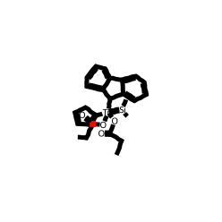 CCC(=O)[O][Ti]([O]C(=O)CC)([C]1=CC=CC1)([CH]1c2ccccc2-c2ccccc21)=[Si](C)C